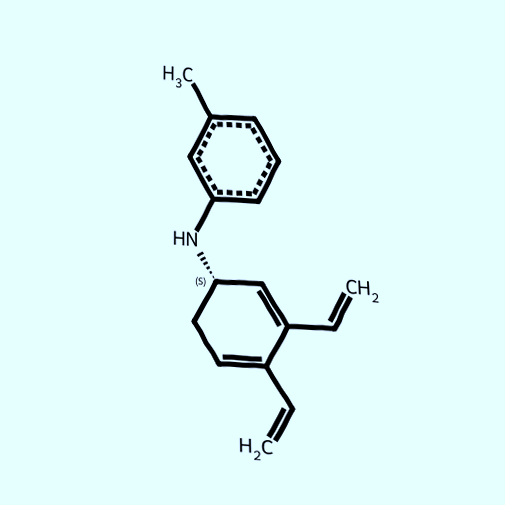 C=CC1=CC[C@H](Nc2cccc(C)c2)C=C1C=C